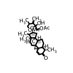 C=C(C(C)COC)C(O)(COC(C)=O)O[C@H]1C[C@@]2(C)[C@@H]3CC[C@H]4[C@H](C)C(=O)C=C[C@@]45C[C@@]35CC[C@]2(C)C1C